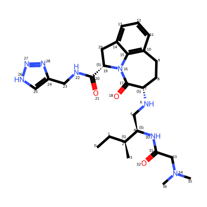 CC[C@H](C)[C@@H](CN[C@H]1CCc2cccc3c2N(C1=O)[C@H](C(=O)NCc1c[nH]nn1)C3)NC(=O)CN(C)C